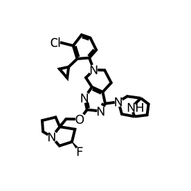 F[C@H]1CN2CCCC2(COc2nc3c(c(N4CC5CCC(C4)N5)n2)CCN(c2cccc(Cl)c2C2CC2)C3)C1